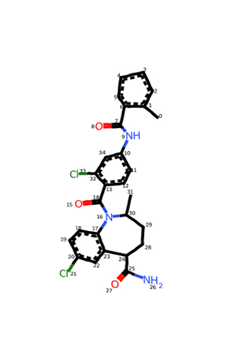 Cc1ccccc1C(=O)Nc1ccc(C(=O)N2c3ccc(Cl)cc3C(C(N)=O)CCC2C)c(Cl)c1